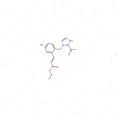 CCOC(=O)C=Cc1ccccc1C[n+]1cc[nH]c1C(C)=O.[Br-]